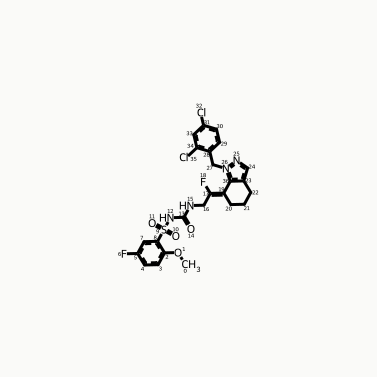 COc1ccc(F)cc1S(=O)(=O)NC(=O)NC/C(F)=C1\CCCc2cnn(Cc3ccc(Cl)cc3Cl)c21